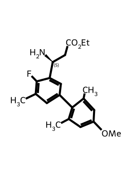 CCOC(=O)C[C@H](N)c1cc(-c2c(C)cc(OC)cc2C)cc(C)c1F